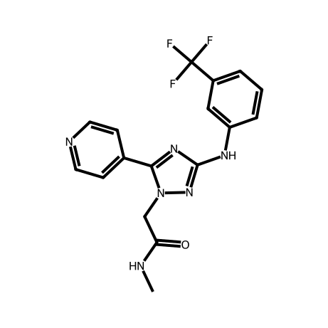 CNC(=O)Cn1nc(Nc2cccc(C(F)(F)F)c2)nc1-c1ccncc1